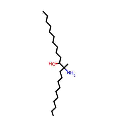 CCCCCCCCCCC(O)C(C)(N)CCCCCCCCCC